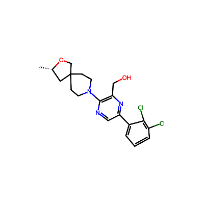 C[C@H]1CC2(CCN(c3ncc(-c4cccc(Cl)c4Cl)nc3CO)CC2)CO1